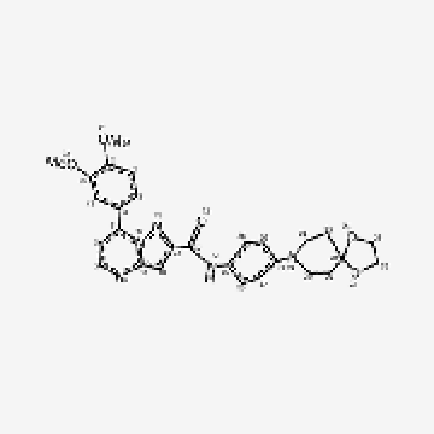 COc1ccc(-c2ccnc3cc(C(=O)Nc4ccc(N5CCC6(CC5)OCCO6)cc4)nn23)cc1OC